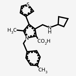 Cc1ccc(Cn2c(C)c(-c3ccsc3)c(CNC3CCC3)c2C(=O)O)cc1